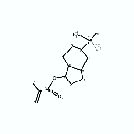 C=C(C)C(=O)OC1CCC2CC(C(C)(C(F)(F)F)C(F)(F)F)CCC21